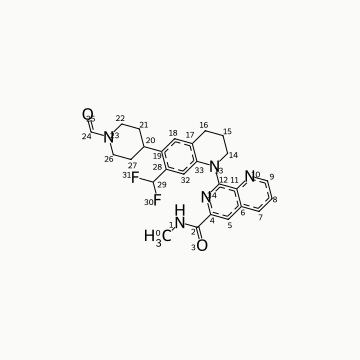 CNC(=O)c1cc2cccnc2c(N2CCCc3cc(C4CCN(C=O)CC4)c(C(F)F)cc32)n1